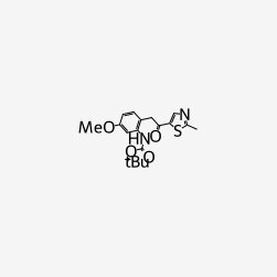 COc1ccc(CC(=O)c2cnc(C)s2)c(NC(=O)OC(C)(C)C)c1